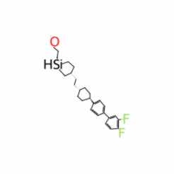 COCCC[Si@H]1CC[C@H](CC[C@H]2CC[C@H](c3ccc(-c4ccc(F)c(F)c4)cc3)CC2)CC1